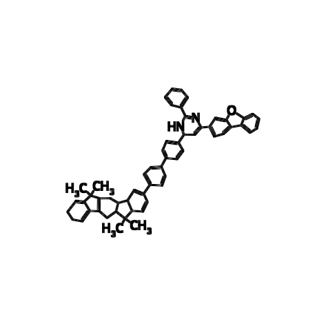 CC1(C)C2=CCCC=C2C2=C1CC1C3C=C(c4ccc(-c5ccc(C6C=C(c7ccc8c(c7)oc7ccccc78)N=C(c7ccccc7)N6)cc5)cc4)C=CC3C(C)(C)C1C2